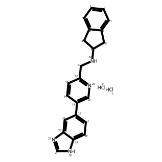 Cl.Cl.c1ccc2c(c1)CC(NCc1ccc(-c3ccc4[nH]cnc4c3)cn1)C2